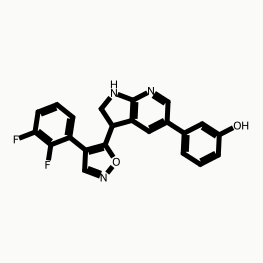 Oc1cccc(-c2cnc3c(c2)C(c2oncc2-c2cccc(F)c2F)CN3)c1